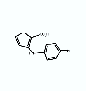 O=C(O)c1sccc1Nc1ccc(Br)cc1